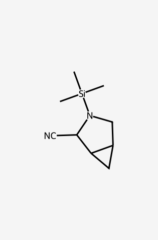 C[Si](C)(C)N1CC2CC2C1C#N